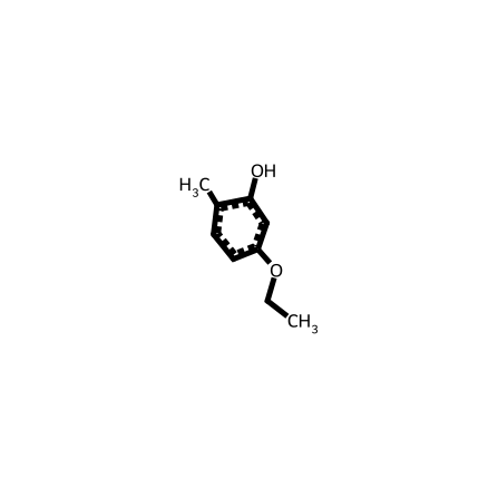 CCOc1ccc(C)c(O)c1